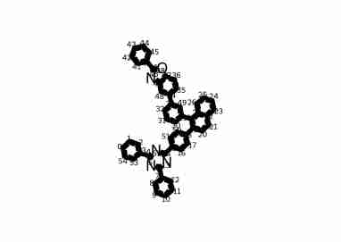 c1ccc(-c2nc(-c3ccccc3)nc(-c3ccc(-c4ccc5ccccc5c4-c4cccc(-c5ccc6oc(-c7ccccc7)nc6c5)c4)cc3)n2)cc1